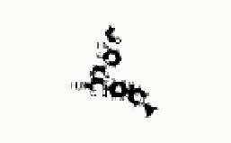 C=CC(=O)N[C@@H]1CCCN(c2cnc(C(N)=O)c(Nc3ccc(C4(C)CCN(C5CC5)CC4)cc3)n2)[C@@H]1C